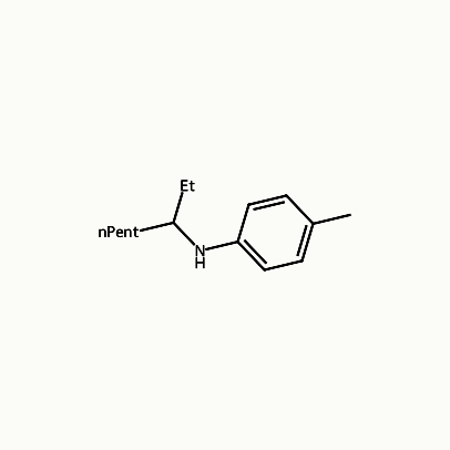 C[CH]CCCC(CC)Nc1ccc(C)cc1